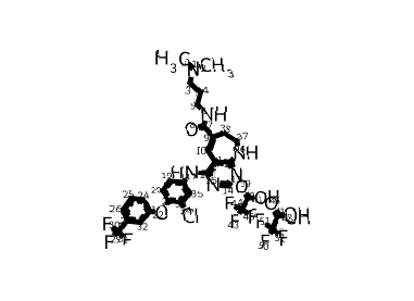 CN(C)CCCNC(=O)C1=Cc2c(ncnc2Nc2ccc(Oc3cccc(C(F)(F)F)c3)c(Cl)c2)NCC1.O=C(O)C(F)(F)F.O=C(O)C(F)(F)F